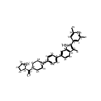 Cc1cc(-c2[nH]c3cc(-c4ccc(N5CCN(C(=O)[C@H]6CCCN6)CC5)nc4)ccc3c2C)cc(C)n1